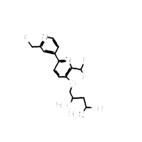 CC(N)CC(C)COc1ccc(-c2ccnc(CF)c2)nc1C(F)F